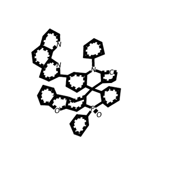 O=P1(c2ccccc2)c2ccccc2C2(c3ccccc3N(c3ccccc3)c3cc(-c4ccc5ccc6cccnc6c5n4)ccc32)c2cc3c(cc21)oc1ccccc13